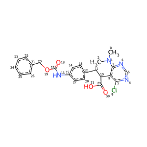 CN(C)c1ncnc(Cl)c1C(Cc1ccc(NC(=O)OCc2ccccc2)cc1)C(=O)O